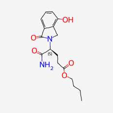 CCCCOC(=O)CC[C@@H](C(N)=O)N1Cc2c(O)cccc2C1=O